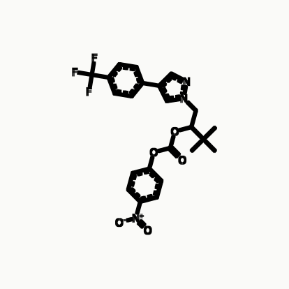 CC(C)(C)C(Cn1cc(-c2ccc(C(F)(F)F)cc2)cn1)OC(=O)Oc1ccc([N+](=O)[O-])cc1